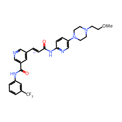 COCCN1CCN(c2ccc(NC(=O)/C=C/c3cncc(C(=O)Nc4cccc(C(F)(F)F)c4)c3)nc2)CC1